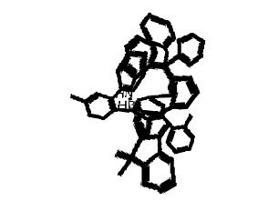 CC1=CC(c2ccccc2)=C(N2c3cc(C)c(-c4ccccc4C)cc3-c3c4cccc3C(c3ccccc3)(c3ccccc3)c3ccccc3NBc3c-4cc4c(c32)C(C)(C)c2ccccc2-4)CC1